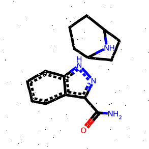 C1CC2CCC(C1)N2.NC(=O)c1n[nH]c2ccccc12